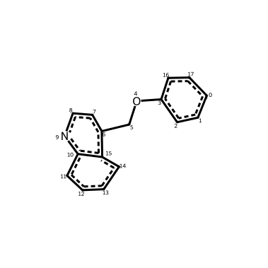 [c]1ccc(OCc2ccnc3ccccc23)cc1